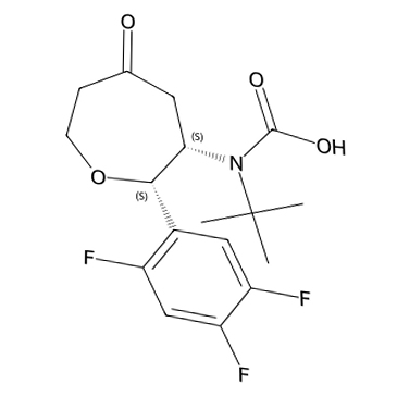 CC(C)(C)N(C(=O)O)[C@H]1CC(=O)CCO[C@H]1c1cc(F)c(F)cc1F